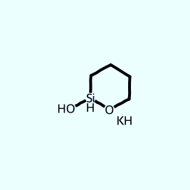 O[SiH]1CCCCO1.[KH]